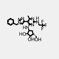 Cc1nc(NCC(F)(F)F)nc(NC2C[C@H](CO)[C@@H](O)[C@H]2O)c1-c1cn(Cc2ccccc2)nn1